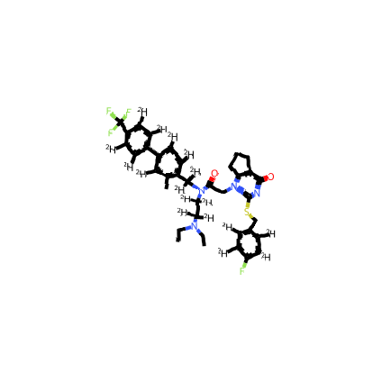 [2H]c1c([2H])c(CSc2nc(=O)c3c(n2CC(=O)N(C([2H])([2H])c2c([2H])c([2H])c(-c4c([2H])c([2H])c(C(F)(F)F)c([2H])c4[2H])c([2H])c2C)C([2H])([2H])C([2H])([2H])N(CC)CC)CCC3)c([2H])c([2H])c1F